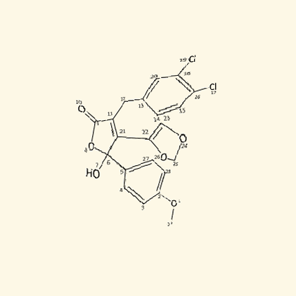 COc1ccc(C2(O)OC(=O)C(Cc3ccc(Cl)c(Cl)c3)=C2C2=COCO2)cc1